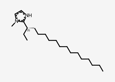 CCCCCCCCCCCCCC[C@H](CC)c1[nH]cc[n+]1C